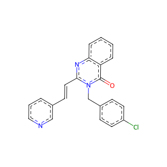 O=c1c2ccccc2nc(/C=C/c2cccnc2)n1Cc1ccc(Cl)cc1